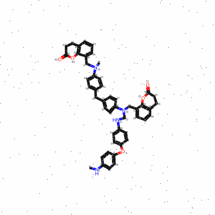 CNc1ccc(Oc2ccc(NCN(Cc3cccc4c3OC(=O)CC4)c3ccc(Cc4ccc(N(C)Cc5cccc6c5OC(=O)CC6)cc4)cc3)cc2)cc1